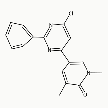 Cc1cc(-c2cc(Cl)nc(-c3ccccc3)n2)cn(C)c1=O